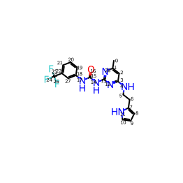 Cc1cc(NCCc2ccc[nH]2)nc(NC(=O)Nc2cccc(C(F)(F)F)c2)n1